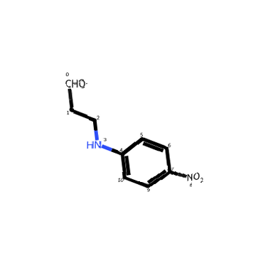 O=[C]CCNc1ccc([N+](=O)[O-])cc1